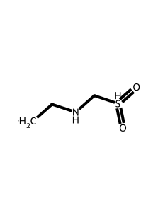 [CH2]CNC[SH](=O)=O